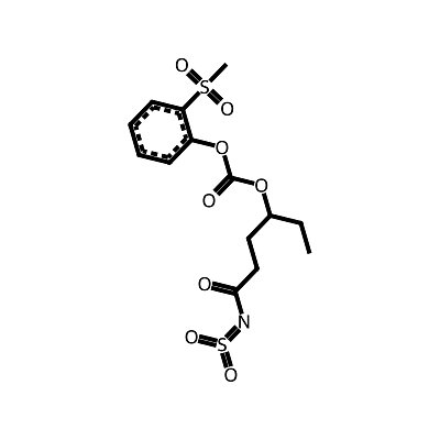 CCC(CCC(=O)N=S(=O)=O)OC(=O)Oc1ccccc1S(C)(=O)=O